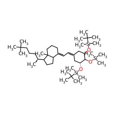 C[C@@H](CCCC(C)(C)C)C1CCC2/C(=C/C=C3C[C@@H](O[Si](C)(C)C(C)(C)C)C(O[Si](C)(C)C)[C@H](O[Si](C)(C)C(C)(C)C)C3)CCCC21C